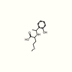 CSCCC(NC(C)c1ccccc1O)C(=O)O